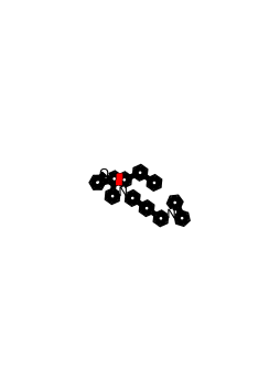 c1ccc(-c2cccc(-c3cccc(N(c4ccc(-c5ccc(-c6cccc(-n7c8ccccc8c8ccccc87)c6)cc5)cc4)c4ccccc4-c4cccc5oc6ccccc6c45)c3)c2)cc1